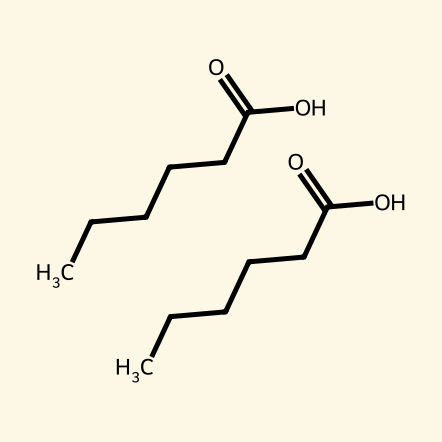 CCCCCC(=O)O.CCCCCC(=O)O